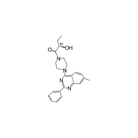 CC[C@@H](O)C(=O)N1CCN(c2nc(-c3ccccc3)nc3cc(C)ccc23)CC1